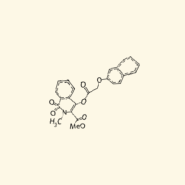 COC(=O)C1=C(OC(=O)COc2ccc3ccccc3c2)c2ccccc2S(=O)(=O)N1C